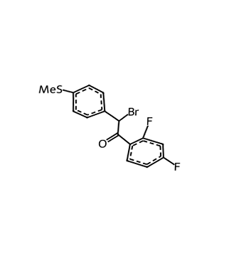 CSc1ccc(C(Br)C(=O)c2ccc(F)cc2F)cc1